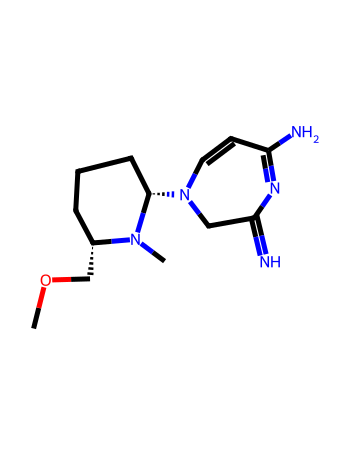 COC[C@@H]1CCC[C@H](N2C=CC(N)=NC(=N)C2)N1C